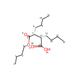 CCCCOC(=O)[C@H](CCCC)[C@H](CCCC)C(=O)O